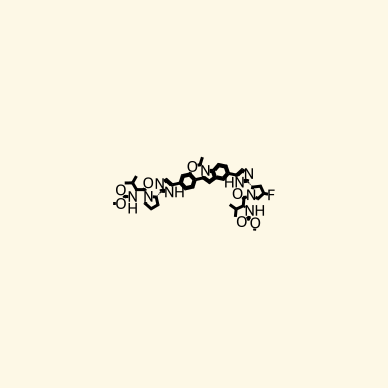 COC(=O)N[C@H](C(=O)N1CCC[C@H]1c1ncc(-c2ccc3c(c2)OC(C)n2c-3cc3cc(-c4cnc([C@@H]5CC(F)CN5C(=O)[C@@H](NC(=O)OC)C(C)C)[nH]4)ccc32)[nH]1)C(C)C